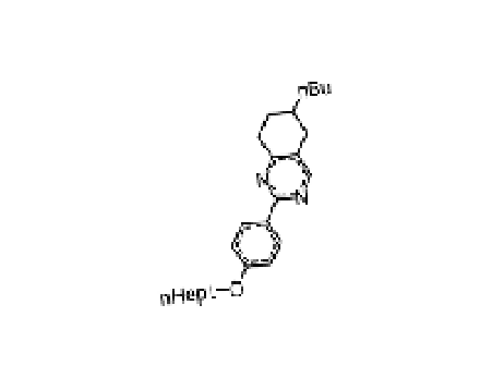 CCCCCCCOc1ccc(-c2ncc3c(n2)CCC(CCCC)C3)cc1